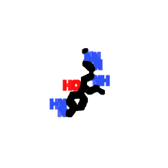 C[C@H]1C[C@@](O)(c2ccc3cn[nH]c3c2)C[C@@H](c2cn(C)nn2)N1